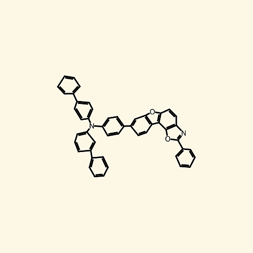 c1ccc(-c2ccc(N(c3ccc(-c4ccc5c(c4)oc4ccc6nc(-c7ccccc7)oc6c45)cc3)c3cccc(-c4ccccc4)c3)cc2)cc1